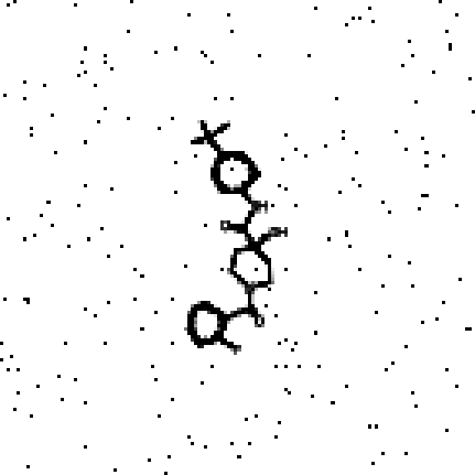 CC(C)(C)c1ccc(NC(=O)C2(O)CCN(C(=O)c3ccccc3F)CC2)cc1